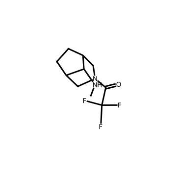 CNC1C2CCC1CN(C(=O)C(F)(F)F)C2